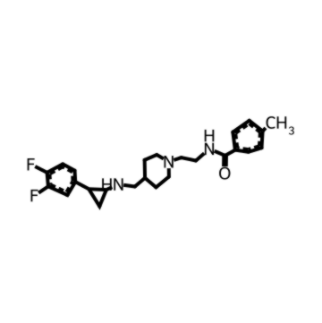 Cc1ccc(C(=O)NCCN2CCC(CNC3CC3c3ccc(F)c(F)c3)CC2)cc1